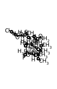 CN(C)C1(Cc2ccccc2)CCC(C(N)=O)CC1.Cc1cccc(CC2(N(C)C)CCC(NC(=O)CCC(=O)N(C)CCc3c[nH]c4ccccc34)CC2)c1.Cc1cccc(CC2(N(C)C)CCC(NC(=O)CCC(=O)N3CCN(c4ccc(Cl)cc4)CC3)CC2)c1.Cc1cccc(CC2(N(C)C)CCC(NC(=O)CCC(=O)NC(C)c3ccc(F)cc3)CC2)c1